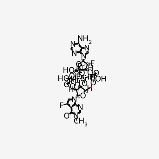 CC(C)[Si](O)(O[Si](O[C@H]1[C@H]2OP(=O)(O)OCC3O[C@@H](n4cnc5c(N)ncnc54)[C@H](F)[C@@H]3OP(=O)(O)OC[C@H]1O[C@H]2n1cc(F)c2c(=O)n(C)cnc21)(C(C)C)C(C)C)C(C)C